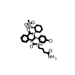 CS(=O)(=O)N[C@H]1CCCC[C@@H]1N1C(=O)c2ccccc2[C@@H](C(=O)NCCCC(N)=O)[C@@H]1c1ccc(Cl)cc1